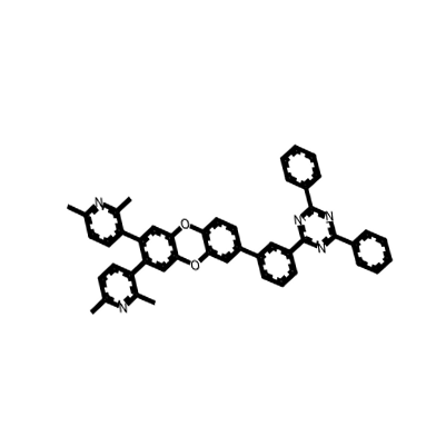 Cc1ccc(-c2cc3c(cc2-c2ccc(C)nc2C)Oc2cc(-c4cccc(-c5nc(-c6ccccc6)nc(-c6ccccc6)n5)c4)ccc2O3)c(C)n1